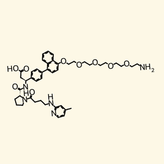 Cc1ccnc(NCCCC(=O)N2CCC[C@@H]2C(=O)N[C@@H](CC(=O)O)c2ccc(-c3ccc(OCCOCCOCCOCCOCCN)c4ccccc34)cc2)c1